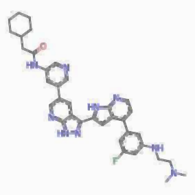 CN(C)CCNc1cc(F)cc(-c2ccnc3[nH]c(-c4n[nH]c5ncc(-c6cncc(NC(=O)CC7CCCCC7)c6)cc45)cc23)c1